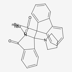 CCCCN1C(=O)c2ccccc2C1(N1CCCC1)C1(S(=O)(=O)CCCC)c2ccccc2-c2ccccc21